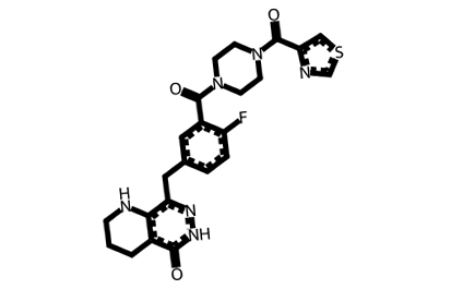 O=C(c1cscn1)N1CCN(C(=O)c2cc(Cc3n[nH]c(=O)c4c3NCCC4)ccc2F)CC1